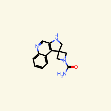 NC(=O)N1CC2(CNc3cnc4ccccc4c32)C1